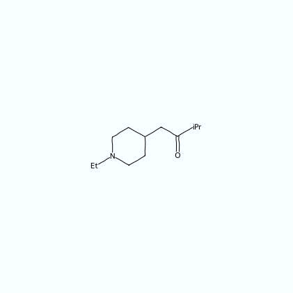 CCN1CCC(CC(=O)C(C)C)CC1